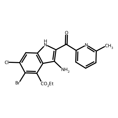 CCOC(=O)c1c(Br)c(Cl)cc2[nH]c(C(=O)c3cccc(C)n3)c(N)c12